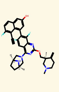 C#Cc1c(F)ccc2cc(O)cc(-c3c(F)cc4c(N5C[C@H]6CC[C@@H](C5)N6)nc(OC[C@]5(C)CN(C)CCC5=C)nc4c3F)c12